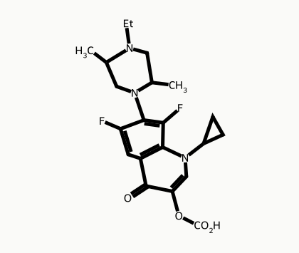 CCN1CC(C)N(c2c(F)cc3c(=O)c(OC(=O)O)cn(C4CC4)c3c2F)CC1C